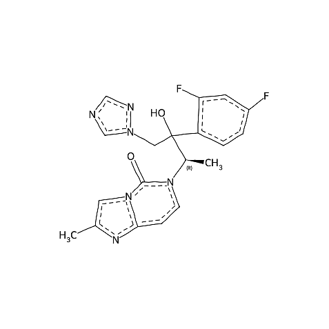 Cc1cn2c(=O)n([C@H](C)C(O)(Cn3cncn3)c3ccc(F)cc3F)ccc2n1